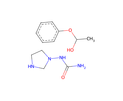 CC(O)Oc1ccccc1.NC(=O)NN1CCNC1